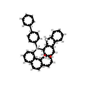 c1ccc(-c2ccc(N(c3cccc4c3oc3ccccc34)c3cccc4ccc5cccnc5c34)cc2)cc1